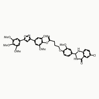 C=C(CCCOc1ccc(C2NC(=O)c3cc(Cl)ccc3N2)cc1OC)Oc1c(OC)cc(-c2cc(-c3cc(OC)c(OC)c(OC)c3)on2)cc1OC